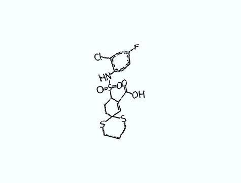 O=C(O)C1=CC2(CCC1S(=O)(=O)Nc1ccc(F)cc1Cl)SCCCS2